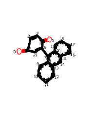 O=C1C=CC(=O)C(c2c3ccccc3cc3ccccc23)=C1